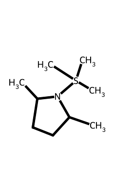 CC1CCC(C)N1S(C)(C)C